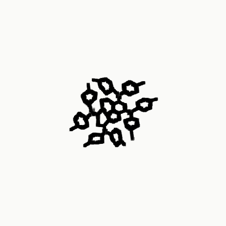 Cc1ccc(N(C2=CC(N(c3ccc(C)cc3)c3ccc(C)cc3)c3ccc4c5c(ccc2c35)C(N(c2ccc(C)cc2)c2ccc(C)cc2)C=C4N(c2ccc(C)cc2)c2ccc(C)cc2)c2ccc(C)cc2)cc1